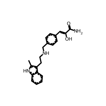 Cc1[nH]c2ccccc2c1CCNCc1ccc(C=C(O)C(N)=O)cc1